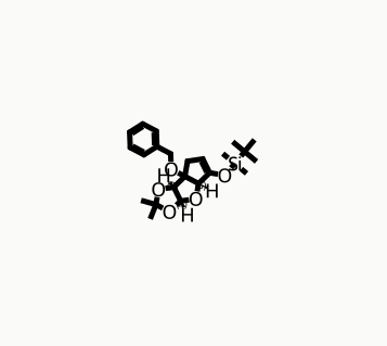 CC1(C)O[C@H]2O[C@@H]3C(O[Si](C)(C)C(C)(C)C)=CCC3(OCc3ccccc3)[C@H]2O1